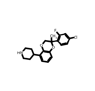 CC1(c2ccc(Cl)cc2F)COc2c(cccc2C2CCNCC2)O1